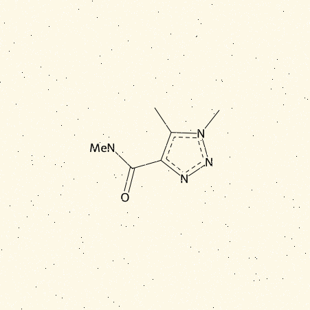 CNC(=O)c1nnn(C)c1C